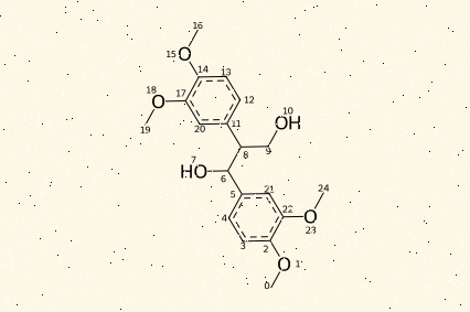 COc1ccc(C(O)C(CO)c2ccc(OC)c(OC)c2)cc1OC